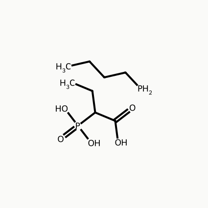 CCC(C(=O)O)P(=O)(O)O.CCCCP